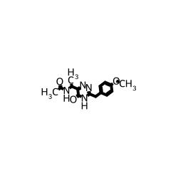 COc1ccc(Cc2nnc(C(C)NC(C)=O)c(=O)[nH]2)cc1